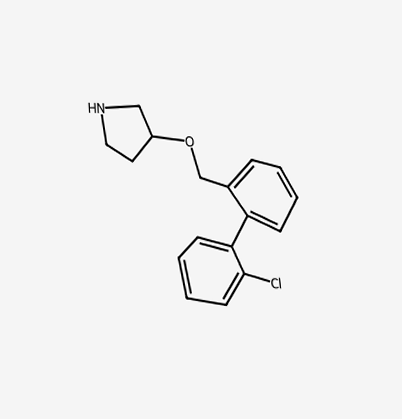 Clc1ccccc1-c1ccccc1COC1CCNC1